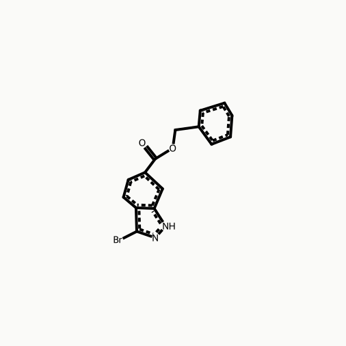 O=C(OCc1ccccc1)c1ccc2c(Br)n[nH]c2c1